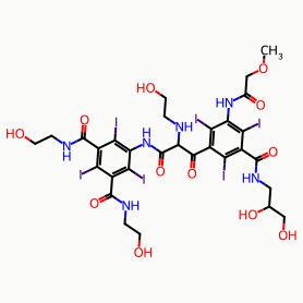 COCC(=O)Nc1c(I)c(C(=O)NCC(O)CO)c(I)c(C(=O)C(NCCO)C(=O)Nc2c(I)c(C(=O)NCCO)c(I)c(C(=O)NCCO)c2I)c1I